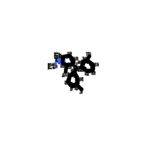 CCNCC.Cc1ccc[c]([Bi]([c]2cccc(C)c2)[c]2ccccc2C)c1